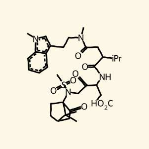 CC(C)C(CC(=O)N(C)CCc1cn(C)c2ccccc12)C(=O)NC(CC(=O)O)C(=O)CN(C12CCC(CC1=O)C2(C)C)S(C)(=O)=O